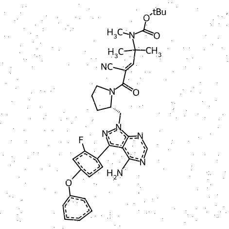 CN(C(=O)OC(C)(C)C)C(C)(C)/C=C(\C#N)C(=O)N1CCC[C@H]1Cn1nc(-c2ccc(Oc3ccccc3)cc2F)c2c(N)ncnc21